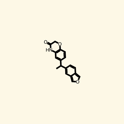 CC(c1ccc2c(c1)NC(=O)CO2)c1ccc2cocc2c1